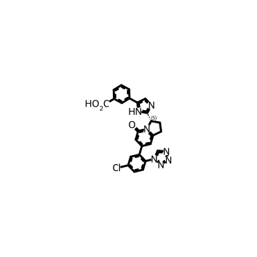 O=C(O)c1cccc(-c2cnc([C@@H]3CCc4cc(-c5cc(Cl)ccc5-n5cnnn5)cc(=O)n43)[nH]2)c1